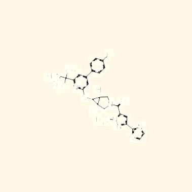 Cn1nc(-c2ncco2)cc1C(=O)N1C[C@@H]2[C@H](C1)[C@@H]2Oc1cc(-c2ccc(F)cc2)cc(C(C)(C)N)n1